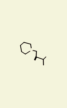 CC(C)C(=O)CN1CCCCC1